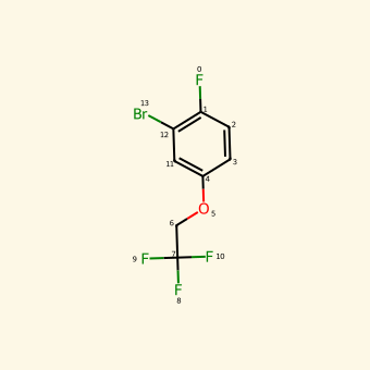 Fc1ccc(OCC(F)(F)F)cc1Br